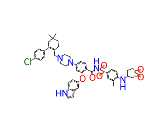 Cc1cc(S(=O)(=O)NC(=O)c2ccc(N3CCN(CC4=C(c5ccc(Cl)cc5)CC(C)(C)CC4)CC3)cc2Oc2ccc3[nH]ccc3c2)ccc1NC1CCS(=O)(=O)C1